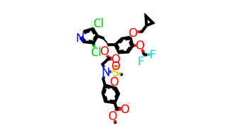 COC(=O)c1ccc(CN(CC(=O)O[C@@H](Cc2c(Cl)cncc2Cl)c2ccc(OC(F)F)c(OCC3CC3)c2)S(C)(=O)=O)cc1